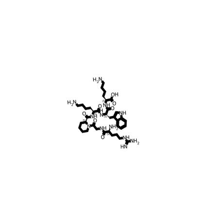 N=C(N)NCCC[C@H](N)C(=O)NCC(=O)N1CCCC[C@H]1C(=O)N[C@@H](CCCCN)C(=O)N[C@@H](Cc1c[nH]c2ccccc12)C(=O)N[C@@H](CCCCN)C(=O)O